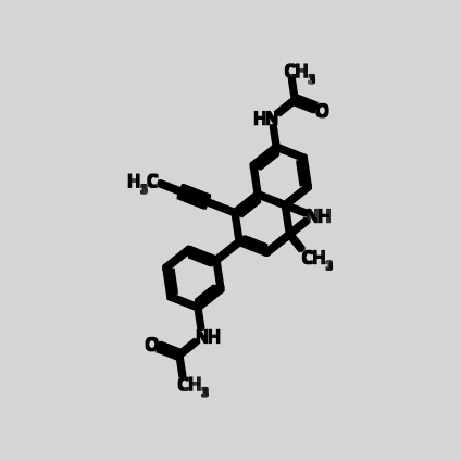 CC#CC1=C2C=C(NC(C)=O)C=CC23NC3(C)C=C1c1cccc(NC(C)=O)c1